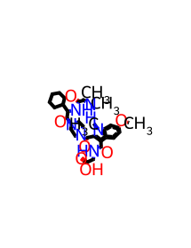 CNC(C)C(=O)NC(C(=O)N1CCN(C(=O)c2c(C(=O)NCC(=O)O)c3ccc(OC)cc3n2C)CC1)C1CCCCC1